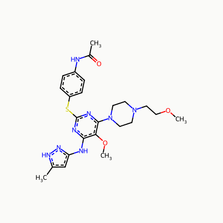 COCCN1CCN(c2nc(Sc3ccc(NC(C)=O)cc3)nc(Nc3cc(C)[nH]n3)c2OC)CC1